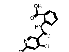 O=C(Nc1ccccc1C(=O)O)c1cnc(Cl)cc1Cl